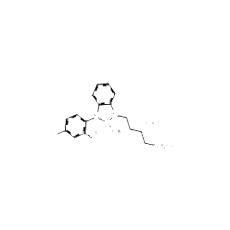 CNC[C@@H](O)CCN1c2ccccc2N(c2ccc(F)cc2F)S1(O)O